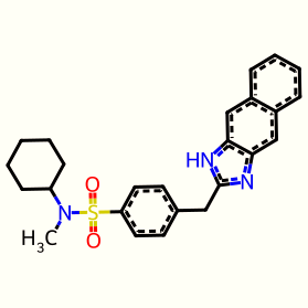 CN(C1CCCCC1)S(=O)(=O)c1ccc(Cc2nc3cc4ccccc4cc3[nH]2)cc1